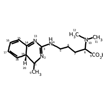 CC1N=C(NCCCC(C(=O)O)N(C)C)N=C2C=CC=C[C@H]21